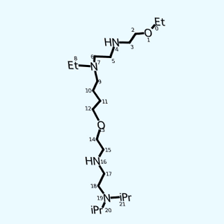 CCOCCNCCN(CC)CCCCOCCNCCN(C(C)C)C(C)C